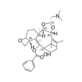 CC1=C2[C@H]3O[C@@H](CN(C)C)O[C@H]3[C@]3(C)CCC4OC[C@H]4/C3=C(\OC(=O)c3ccccc3)[C@](O)(CC1)C2(C)C